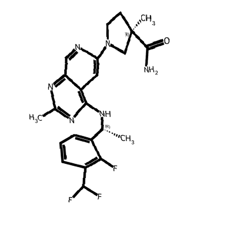 Cc1nc(N[C@H](C)c2cccc(C(F)F)c2F)c2cc(N3CC[C@@](C)(C(N)=O)C3)ncc2n1